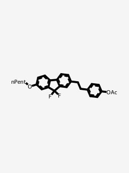 CCCCCOc1ccc2c(c1)C(F)(F)c1cc(CCc3ccc(OC(C)=O)cc3)ccc1-2